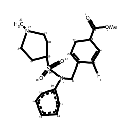 COC(=O)C1C=C(F)C(CN(c2ccccc2)S(=O)(=O)C2CCN(C)CC2)=CC1